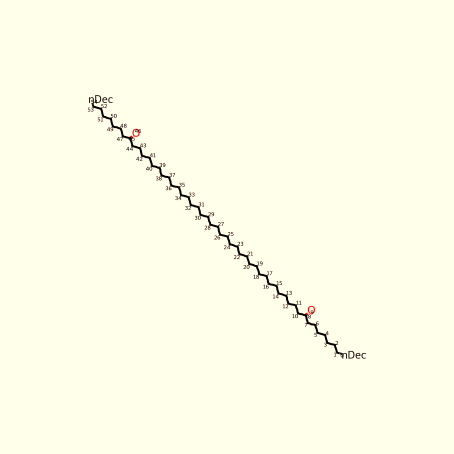 CCCCCCCCCCCCCCCCCC(=O)CCCCCCCCCCCCCCCCCCCCCCCCCCCCCCCCCCCC(=O)CCCCCCCCCCCCCCCCC